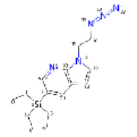 CC[Si](CC)(CC)c1cnc2c(ccn2CCN=[N+]=[N-])c1